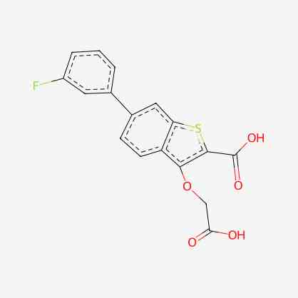 O=C(O)COc1c(C(=O)O)sc2cc(-c3cccc(F)c3)ccc12